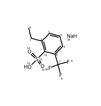 CCc1cccc(C(F)(F)F)c1S(=O)(=O)O.[NaH]